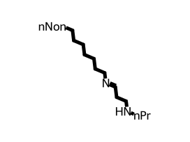 CCCCCCCCCCCCCCCCN=CCCNCCC